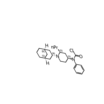 CCC[C@H]1C[C@@H](N(C(=O)Cl)c2ccccc2)CCN1[C@H]1C[C@@H]2CCC[C@@H](C2)C1